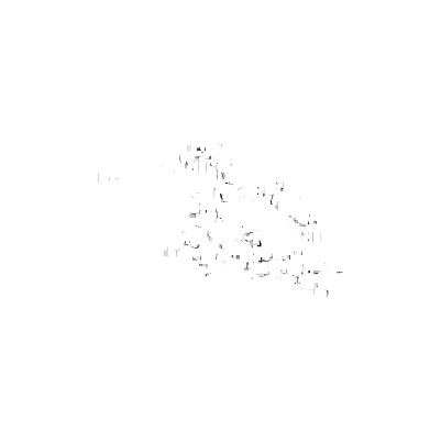 CCCCCCCCCCCCCCCC(=O)N[C@H](C(=O)N[C@H](C(=O)N[C@@H](CCCNC(=N)N)C(=O)N1CCC[C@H]1C(=O)C[C@H](C(=O)N[C@@H](C)C(=O)C[C@@H](CC(N)=O)C(=O)N[C@@H](C)C(=O)C[C@@H](CCCNC(=N)N)C(=O)N[C@@H](CC(C)C)C(=O)CC)C(C)C)C(C)C)[C@@H](C)CC